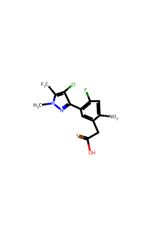 Cn1nc(-c2cc(CC(O)=S)c([N+](=O)[O-])cc2F)c(Cl)c1C(F)(F)F